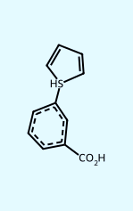 O=C(O)c1cccc([SH]2C=CC=C2)c1